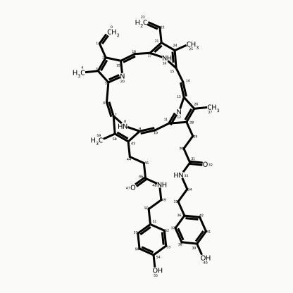 C=CC1=C(C)c2cc3[nH]c(cc4nc(cc5[nH]c(cc1n2)c(C=C)c5C)C(C)=C4CCC(=O)NCCc1ccc(O)cc1)c(CCC(=O)NCCc1ccc(O)cc1)c3C